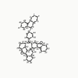 c1ccc2c(c1)cc(-c1ccc(N(c3ccc4c(c3)oc3ccccc34)c3cccc4oc5c6ccccc6ccc5c34)cc1)c1ccccc12